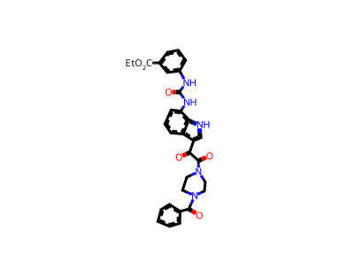 CCOC(=O)c1cccc(NC(=O)Nc2cccc3c(C(=O)C(=O)N4CCN(C(=O)c5ccccc5)CC4)c[nH]c23)c1